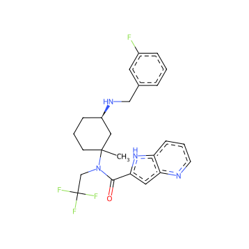 CC1(N(CC(F)(F)F)C(=O)c2cc3ncccc3[nH]2)CCC[C@@H](NCc2cccc(F)c2)C1